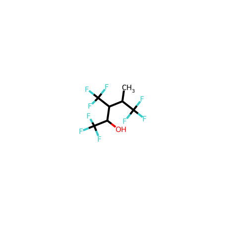 CC(C(C(O)C(F)(F)F)C(F)(F)F)C(F)(F)F